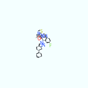 COc1ccc(F)cc1C(C(=O)Nc1nccs1)n1cc2ccc(-c3ccccc3)cc2n1